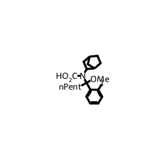 CCCCCC(OC)(c1ccccc1I)N(C(=O)O)C1CC2CCC1C2